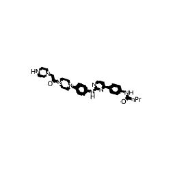 CCCC(=O)Nc1ccc(-c2ccnc(Nc3ccc(N4CCN(C(=O)CN5CCNCC5)CC4)cc3)n2)cc1